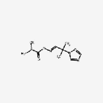 CN(C)C(=O)ON=CC(C)(C)n1cncn1